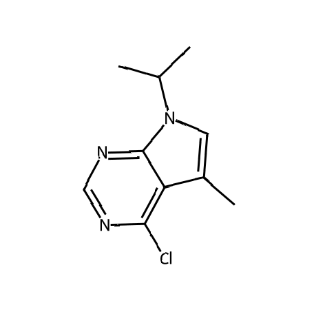 Cc1cn(C(C)C)c2ncnc(Cl)c12